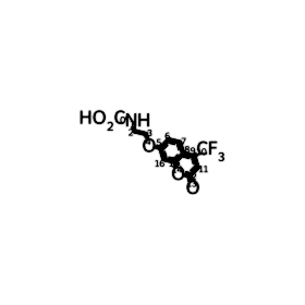 O=C(O)NCCOc1ccc2c(C(F)(F)F)cc(=O)oc2c1